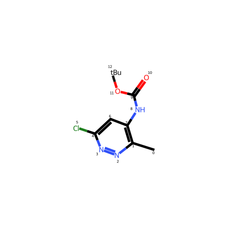 Cc1nnc(Cl)cc1NC(=O)OC(C)(C)C